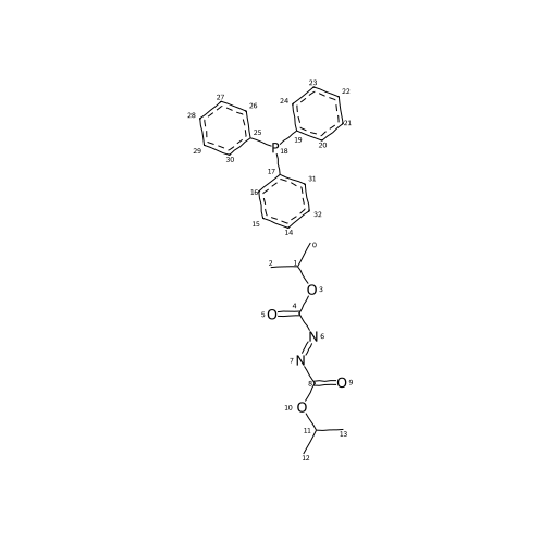 CC(C)OC(=O)/N=N/C(=O)OC(C)C.c1ccc(P(c2ccccc2)c2ccccc2)cc1